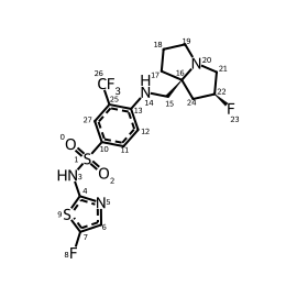 O=S(=O)(Nc1ncc(F)s1)c1ccc(NC[C@@]23CCCN2C[C@@H](F)C3)c(C(F)(F)F)c1